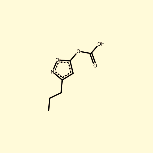 CCCc1cc(OC(=O)O)on1